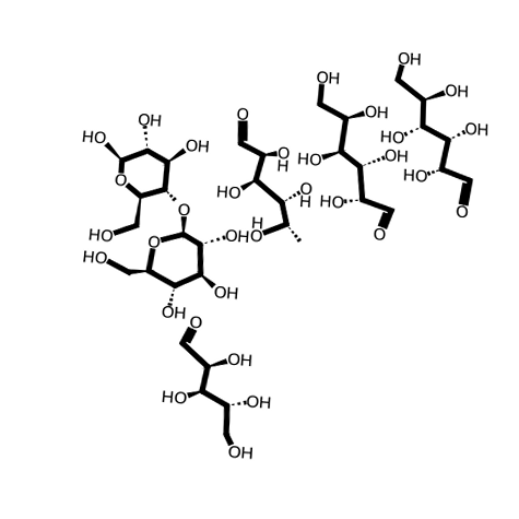 C[C@H](O)[C@@H](O)[C@@H](O)[C@H](O)C=O.O=C[C@@H](O)[C@H](O)[C@H](O)CO.O=C[C@H](O)[C@@H](O)[C@@H](O)[C@H](O)CO.O=C[C@H](O)[C@@H](O)[C@H](O)[C@H](O)CO.OC[C@H]1O[C@@H](O[C@H]2[C@H](O)[C@@H](O)[C@H](O)O[C@@H]2CO)[C@H](O)[C@@H](O)[C@@H]1O